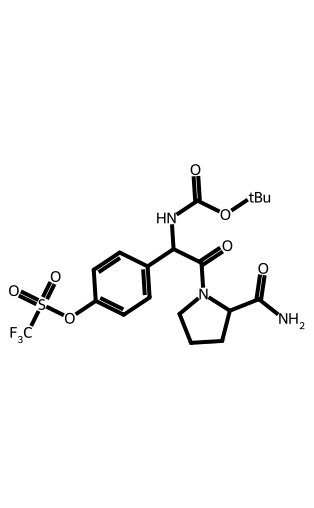 CC(C)(C)OC(=O)NC(C(=O)N1CCCC1C(N)=O)c1ccc(OS(=O)(=O)C(F)(F)F)cc1